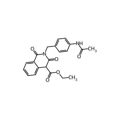 CCOC(=O)C1C(=O)N(Cc2ccc(NC(C)=O)cc2)C(=O)c2ccccc21